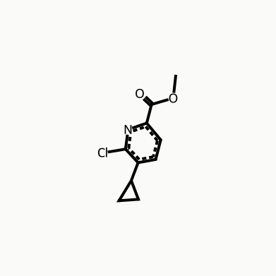 COC(=O)c1ccc(C2CC2)c(Cl)n1